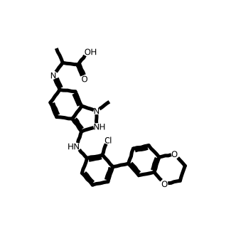 CC(N=c1ccc2c(Nc3cccc(-c4ccc5c(c4)OCCO5)c3Cl)[nH]n(C)c-2c1)C(=O)O